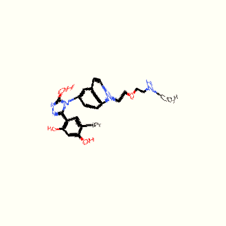 CC(C)c1cc(-c2nnc(O)n2-c2ccc3c(ccn3CCOCCNC(=O)O)c2)c(O)cc1O